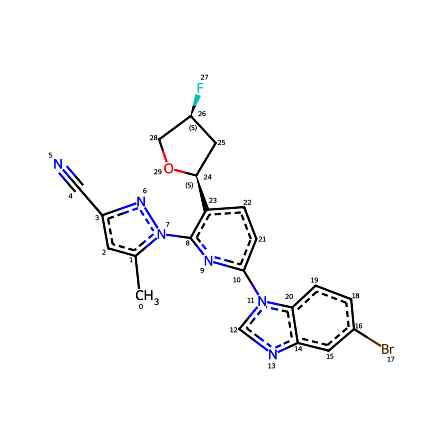 Cc1cc(C#N)nn1-c1nc(-n2cnc3cc(Br)ccc32)ccc1[C@@H]1C[C@H](F)CO1